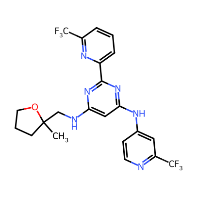 CC1(CNc2cc(Nc3ccnc(C(F)(F)F)c3)nc(-c3cccc(C(F)(F)F)n3)n2)CCCO1